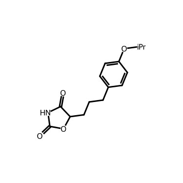 CC(C)Oc1ccc(CCCC2OC(=O)NC2=O)cc1